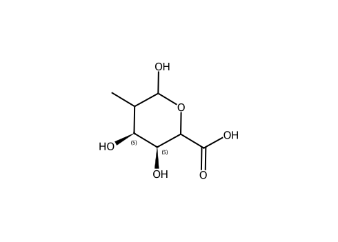 CC1C(O)OC(C(=O)O)[C@@H](O)[C@H]1O